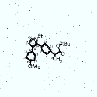 C=C(C(=O)OC(C)(C)C)c1ccc(-c2c(-c3ccc(OC)cc3)ncn2CC)cc1